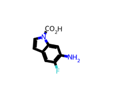 Nc1cc2c(ccn2C(=O)O)cc1F